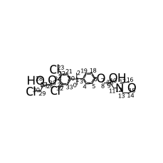 CC(C)(c1ccc(OC[C@H](O)CN2CCOCC2)cc1)c1cc(Cl)c(OC[C@H](O)CCl)c(Cl)c1